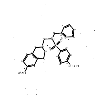 COc1ccc2c(c1)CCC(CN(Cc1ccccc1)S(=O)(=O)c1ccc(C(=O)O)cc1)C2